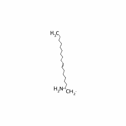 [CH2]C(N)CCCCCC=CCCCCCCCCC